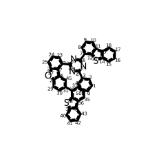 c1ccc(-c2nc(-c3cccc4c3sc3ccccc34)nc(-c3cccc4oc5ccc(-c6cccc7c6sc6ccccc67)cc5c34)n2)cc1